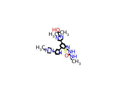 CCNC(=O)Nc1nc2cc(-c3cnc(C(C)(C)O)nc3)cc(-c3cc(N4CCN(CC)CC4)ccn3)c2s1